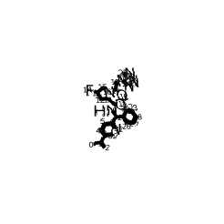 CC(C)c1ccc(C(NC(=O)C2CC(F)CN2C(=O)Cn2cnnn2)c2ccccc2)nc1